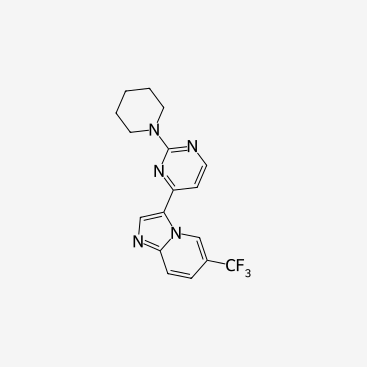 FC(F)(F)c1ccc2ncc(-c3ccnc(N4CCCCC4)n3)n2c1